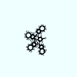 Cc1cc2c3c(c1)N(c1ccc4c(c1)CCCCC4)c1cc4c(cc1B3c1cc3c(cc1N2c1ccc2c(c1)CCCCC2)CCCCC3)CCCCC4